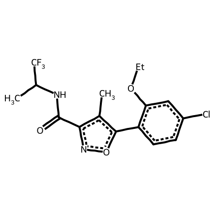 CCOc1cc(Cl)ccc1-c1onc(C(=O)NC(C)C(F)(F)F)c1C